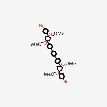 COCOC1(c2ccc(Br)cc2)CCC(OCOC)(c2ccc(-c3ccc(-c4ccc(C5(OCOC)CCC(OCOC)(c6ccc(Br)cc6)CC5)cc4)cc3)cc2)CC1